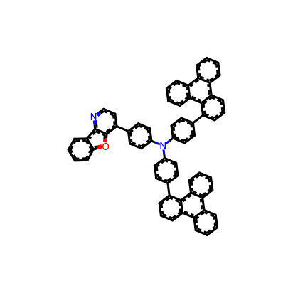 c1ccc2c(c1)oc1c(-c3ccc(N(c4ccc(-c5cccc6c7ccccc7c7ccccc7c56)cc4)c4ccc(-c5cccc6c7ccccc7c7ccccc7c56)cc4)cc3)ccnc12